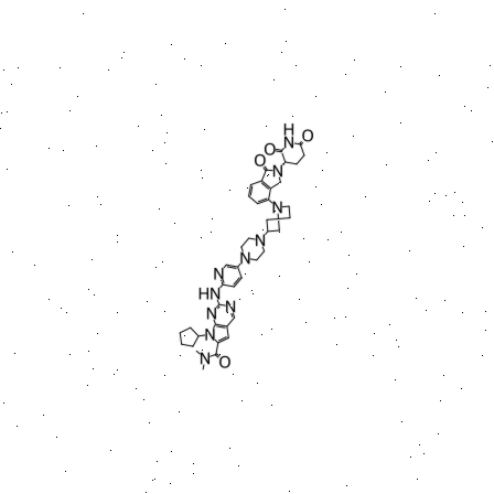 CN(C)C(=O)c1cc2cnc(Nc3ccc(N4CCN(C5CC6(CCN6c6cccc7c6CN([C@@H]6CCC(=O)NC6=O)C7=O)C5)CC4)cn3)nc2n1C1CCCC1